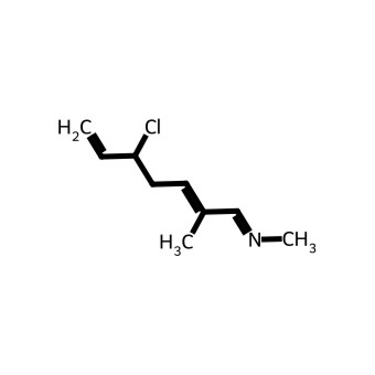 C=CC(Cl)C/C=C(C)/C=N/C